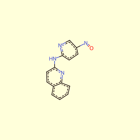 O=Nc1ccc(Nc2ccc3ccccc3n2)nc1